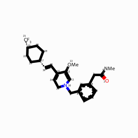 CNC(=O)Cc1cccc(CN2C=C(OC)C(/C=C/[C@H]3CC[C@@H](C(F)(F)F)CC3)=CC2)c1